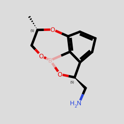 C[C@H]1COB2O[C@H](CN)c3cccc(c32)O1